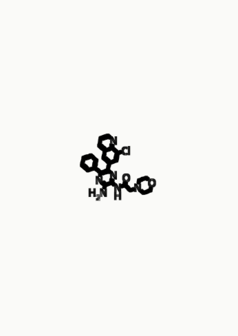 Nc1nc(-c2ccccc2)c(-c2cc(Cl)c3ncccc3c2)nc1NC(=O)CN1CCOCC1